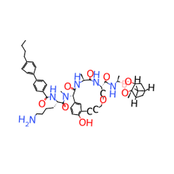 CCCCc1ccc(-c2ccc(C(=O)N[C@@H](CCCCN)C(=O)N(C)[C@@H]3C(=O)N[C@@H](C)C(=O)N[C@H](C(=O)N[C@@H](C)B4O[C@@H]5C[C@@H]6C[C@@H](C6(C)C)[C@]5(C)O4)COCCCc4cc3ccc4O)cc2)cc1